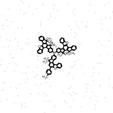 Cc1ccc(-c2cc3c(c4c2oc2ccccc24)-c2ccc(N(c4ccc5c(c4)C(C)(C)c4c6c(c7oc8ccccc8c7c4-5)-c4ccccc4C6(C)C)c4ccc5c(c4)C(C)(C)c4c6c(c7oc8ccccc8c7c4-5)-c4ccccc4C6(C)C)cc2C3(C)C)cc1